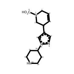 O=C(O)N1CC=CC(c2cnn(C3CCNCC3)c2)C1